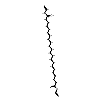 C=COC(=O)CCCCCCCCCCCCCCCCCCCCC(=O)OC=C